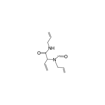 C=CCNC(=O)C(C=C)N([C]=O)CC=C